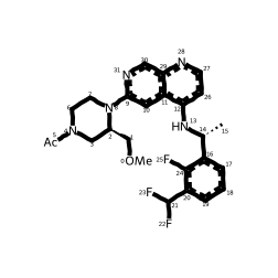 COC[C@H]1CN(C(C)=O)CCN1c1cc2c(N[C@H](C)c3cccc(C(F)F)c3F)ccnc2cn1